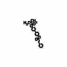 C=C(C)C(=O)Oc1ccc(-c2ccc(OC(=O)/C=C/c3ccccc3)cc2)cc1